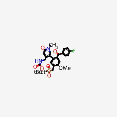 CCS(=O)(=O)Cc1cc(-c2cn(C)c(=O)cc2CNC(=O)OC(C)(C)C)c(C(=O)c2ccc(F)cc2)cc1OC